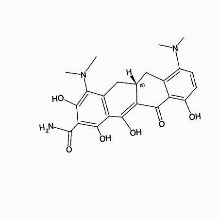 CN(C)c1ccc(O)c2c1C[C@H]1Cc3c(c(O)c(C(N)=O)c(O)c3N(C)C)C(O)=C1C2=O